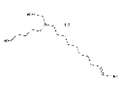 CCCCCCCCC=CCCCCCCCCN(CCCCCCCCCCC)CCCCCCCCCCCCCC.Cl